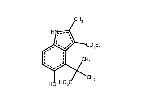 CCOC(=O)c1c(C)[nH]c2ccc(O)c(C(C)(C)C(=O)O)c12